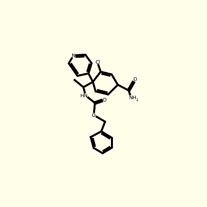 CC(NC(=O)OCc1ccccc1)C1(c2ccncc2)C=CC(C(N)=O)C=C1Cl